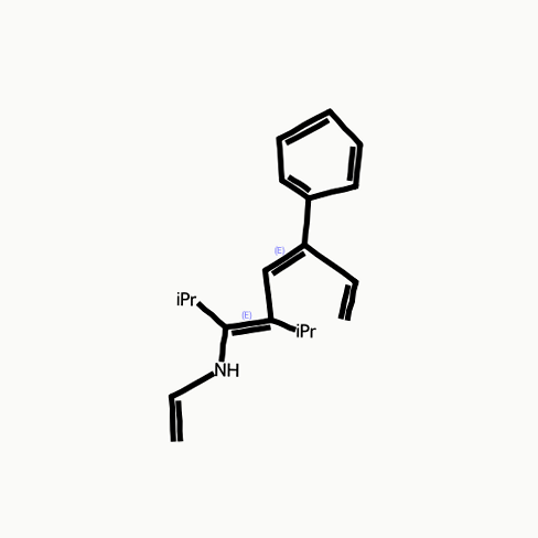 C=CN/C(=C(/C=C(\C=C)c1ccccc1)C(C)C)C(C)C